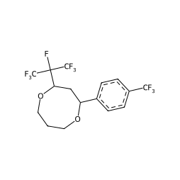 FC(F)(F)c1ccc(C2CC(C(F)(C(F)(F)F)C(F)(F)F)OCCCO2)cc1